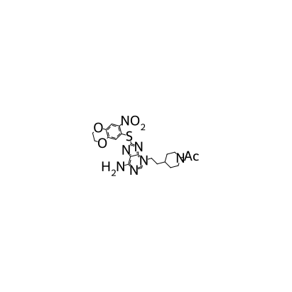 CC(=O)N1CCC(CCn2cnc(N)c3nc(Sc4cc5c(cc4[N+](=O)[O-])OCCO5)nc2-3)CC1